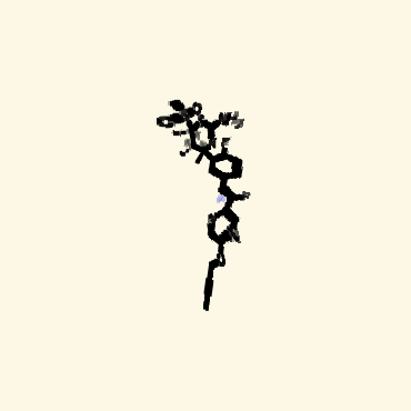 CC#CCOc1cnc(/C(F)=C/c2ccc(F)c([C@@]3(C)N=C(N)S[C@](C)(S(C)(=O)=O)[C@H]3C)c2)cn1